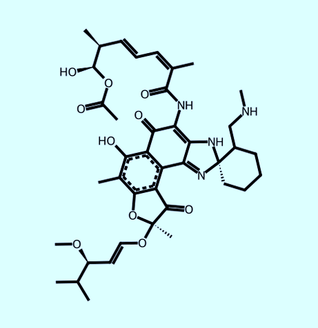 CNCC1CCCC[C@@]12N=C1C(=C(NC(=O)/C(C)=C\C=C\[C@H](C)[C@H](O)OC(C)=O)C(=O)c3c(O)c(C)c4c(c31)C(=O)[C@@](C)(O/C=C/[C@H](OC)C(C)C)O4)N2